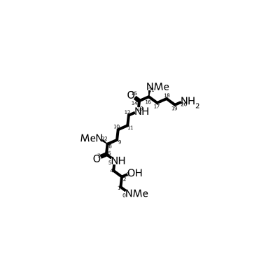 CNCC(O)CNC(=O)[C@H](CCCCNC(=O)[C@H](CCCN)NC)NC